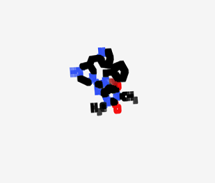 Cn1c(=O)c2c(nc(N3CCNCC(Cc4ccccn4)C3)n2Cc2ccccc2Br)n(C)c1=O